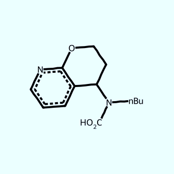 CCCCN(C(=O)O)C1CCOc2ncccc21